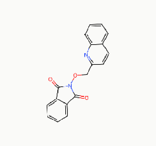 O=C1c2ccccc2C(=O)N1OCc1ccc2ccccc2n1